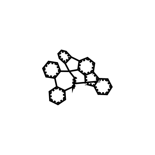 Brc1ccc2c(c1)C1(c3ccccc3-c3ccccc3-2)c2ccccc2-c2ccc3c(sc4ccccc43)c21